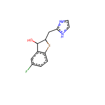 OC1c2cc(F)ccc2SC1Cc1ncc[nH]1